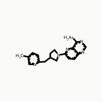 Cc1ccc(CC2CCN(c3ccc4ncnc([AsH2])c4n3)C2)nc1